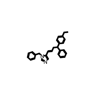 CCc1ccc(C(CC=Cc2cncn2Cc2ccccc2)c2ccccc2)cc1